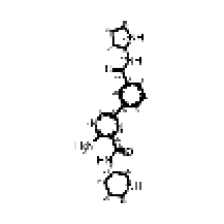 Nc1ncc(-c2cccc(C(=O)N[C@H]3CCCN3)c2)nc1C(=O)N[C@H]1CCCNC1